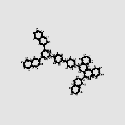 c1ccc2cc(-c3cc(-c4ccc5ccccc5c4)nc(-c4ccc(-c5ccc(-c6cc7c(-c8ccc9ccccc9c8)nc8ccccc8c7c7ccccc67)cc5)cc4)n3)ccc2c1